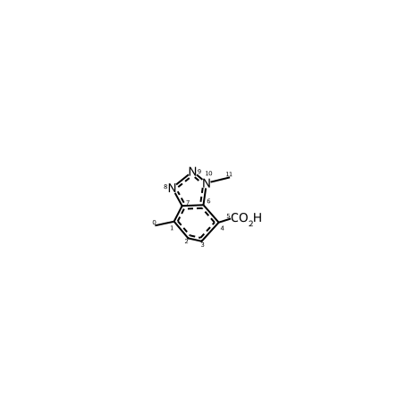 Cc1ccc(C(=O)O)c2c1nnn2C